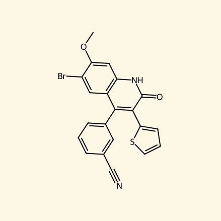 COc1cc2[nH]c(=O)c(-c3cccs3)c(-c3cccc(C#N)c3)c2cc1Br